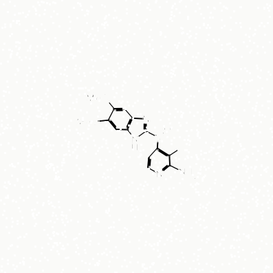 COc1cc2nc([S+]([O-])c3ccnc(N)c3C)[nH]c2cc1OC